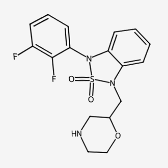 O=S1(=O)N(CC2CNCCO2)c2ccccc2N1c1cccc(F)c1F